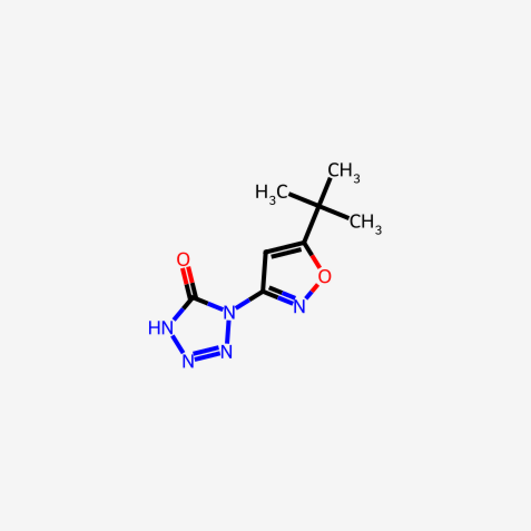 CC(C)(C)c1cc(-n2nn[nH]c2=O)no1